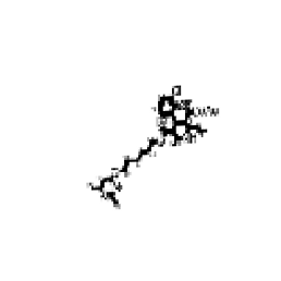 COC(=O)C1=C(CF)NC(C)=C(C(=O)OCCCCCCOc2cc(C)nc(C)n2)C1c1c(F)ccc(Cl)c1C(F)(F)F